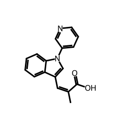 CC(=Cc1cn(-c2cccnc2)c2ccccc12)C(=O)O